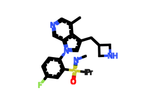 CN=S(=O)(c1cc(F)ccc1-n1cc(CC2CNC2)c2c(C)cncc21)C(C)C